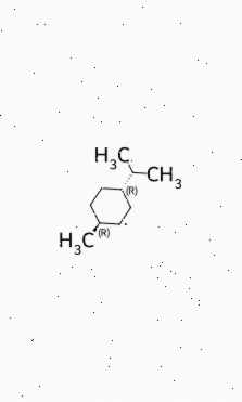 CC(C)[C@@H]1C[CH][C@@H](C)CC1